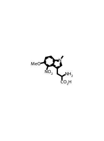 COc1ccc2c(c(CC(N)C(=O)O)cn2C)c1[N+](=O)[O-]